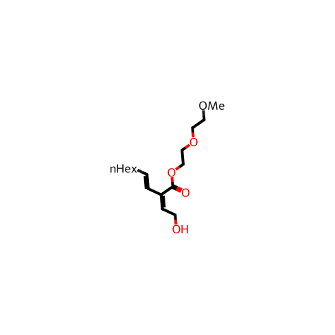 CCCCCCC=CC(=CCO)C(=O)OCCOCCOC